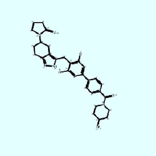 O=C(c1ccc(-c2cc(Cl)c(Cc3[nH]nc4c3CC(N3CCCC3=O)CC4)c(Cl)c2)cc1)N1CCC(C(F)(F)F)CC1